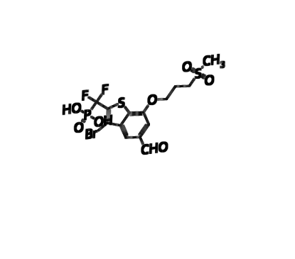 CS(=O)(=O)CCCOc1cc(C=O)cc2c(Br)c(C(F)(F)P(=O)(O)O)sc12